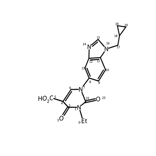 CCn1c(=O)c(C(=O)O)cn(-c2ccc3c(c2)ncn3CC2CC2)c1=O